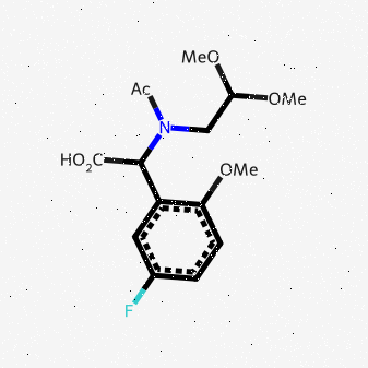 COc1ccc(F)cc1C(C(=O)O)N(CC(OC)OC)C(C)=O